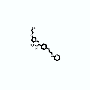 CN[C@H](CN1CCC(OCCO)C1)c1ccc(OCCOC2CCCCO2)cc1